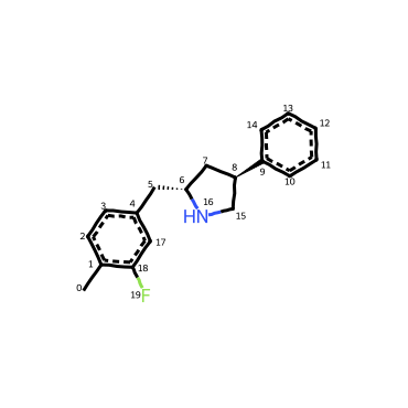 Cc1ccc(C[C@@H]2C[C@@H](c3ccccc3)CN2)cc1F